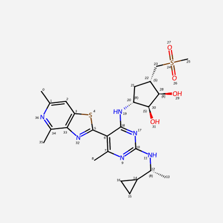 Cc1cc2sc(-c3c(C)nc(N[C@H](C)C4CC4)nc3N[C@@H]3C[C@H](CS(C)(=O)=O)[C@@H](O)[C@H]3O)nc2c(C)n1